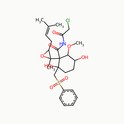 COC1C(O)CCC(O)(CS(=O)(=O)c2ccccc2)C1(C(=O)NC(=O)CCl)C1(C)OC1CC=C(C)C